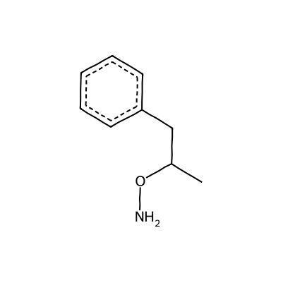 CC(Cc1ccccc1)ON